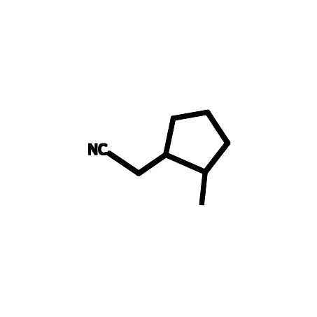 CC1CCCC1CC#N